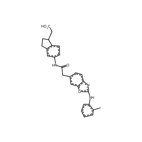 Cc1ccccc1Nc1nc2ccc(CC(=O)Nc3ccc4c(c3)CCC4CC(=O)O)cc2o1